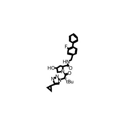 CC(C)(C)[C@@H](C(=O)N1CC(O)CC1C(=O)NCc1ccc(-c2ccccc2)c(F)c1)n1cc(C2CC2)nn1